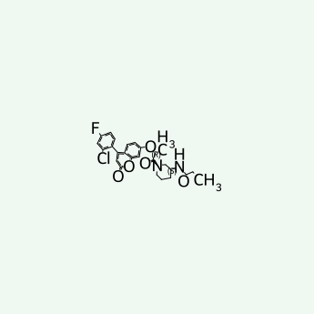 CCC(=O)N[C@H]1CCCN(C(=O)[C@@H](C)Oc2ccc3c(-c4ccc(F)cc4Cl)cc(=O)oc3c2)C1